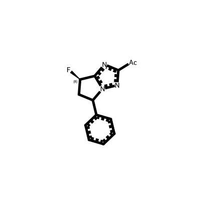 CC(=O)c1nc2n(n1)C(c1ccccc1)C[C@H]2F